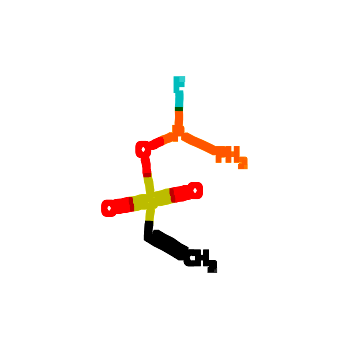 C=CS(=O)(=O)OP(F)P